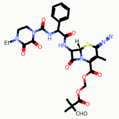 CCN1CCN(C(=O)NC(C(=O)NC2C(=O)N3C(C(=O)OCOC(=O)C(C)(C)C=O)=C(C)C(=[N+]=[N-])S[C@@H]23)c2ccccc2)C(=O)C1=O